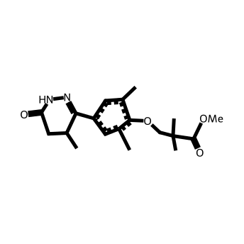 COC(=O)C(C)(C)COc1c(C)cc(C2=NNC(=O)CC2C)cc1C